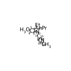 CCCc1c(CC)c2cc(C)ccc2n1CCc1ccc(C)nc1